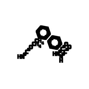 C.C.N=C=O.N=C=O.N=C=O.c1ccccc1.c1ccccc1